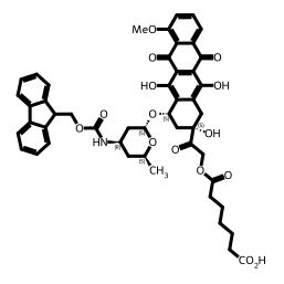 COc1cccc2c1C(=O)c1c(O)c3c(c(O)c1C2=O)C[C@@](O)(C(=O)COC(=O)CCCCCC(=O)O)C[C@@H]3O[C@H]1C[C@H](NC(=O)OCC2c3ccccc3-c3ccccc32)C[C@H](C)O1